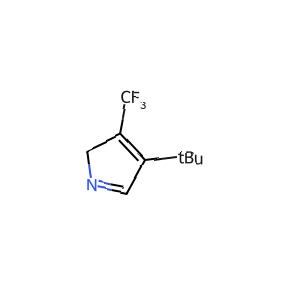 CC(C)(C)C1=C(C(F)(F)F)CN=C1